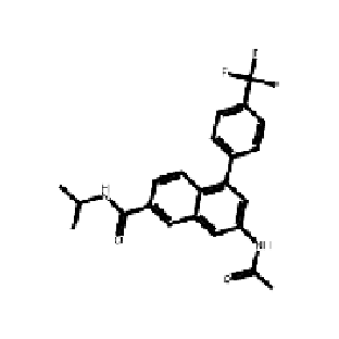 CC(=O)Nc1cc(-c2ccc(C(F)(F)F)cc2)c2ccc(C(=O)NC(C)C)cc2c1